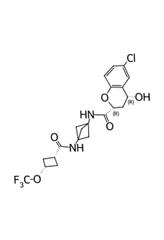 O=C(NC12CC(NC(=O)[C@H]3C[C@@H](OC(F)(F)F)C3)(C1)C2)[C@H]1C[C@@H](O)c2cc(Cl)ccc2O1